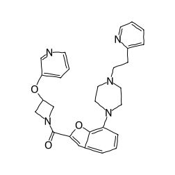 O=C(c1cc2cccc(N3CCN(CCc4ccccn4)CC3)c2o1)N1CC(Oc2cccnc2)C1